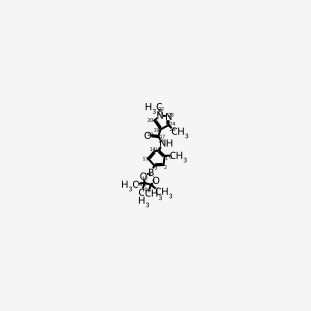 Cc1cc(B2OC(C)(C)C(C)(C)O2)ccc1NC(=O)c1cn(C)nc1C